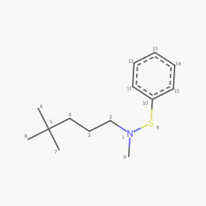 CN(CCCC(C)(C)C)Sc1ccccc1